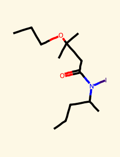 CCCOC(C)(C)CC(=O)N(I)C(C)CCC